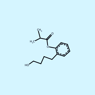 CC(C)C(=O)Oc1ccccc1CCCCO